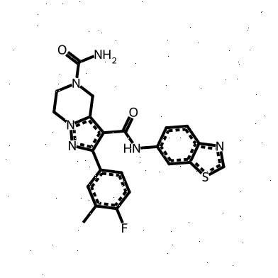 Cc1cc(-c2nn3c(c2C(=O)Nc2ccc4ncsc4c2)CN(C(N)=O)CC3)ccc1F